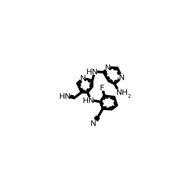 N#Cc1cccc(F)c1Nc1cc(Nc2cc(N)ncn2)ncc1C=N